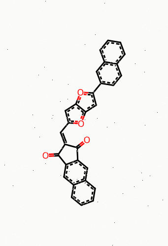 O=C1C(=Cc2cc3oc(-c4ccc5ccccc5c4)cc3o2)C(=O)c2cc3ccccc3cc21